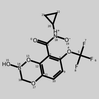 O=C(c1c(OC(F)(F)F)ccc2c1OB(O)CO2)[NH+]([O-])C1CC1